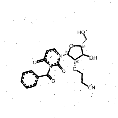 N#CCCO[C@H]1C(O)[C@@H](CO)O[C@H]1n1ccc(=O)n(C(=O)c2ccccc2)c1=O